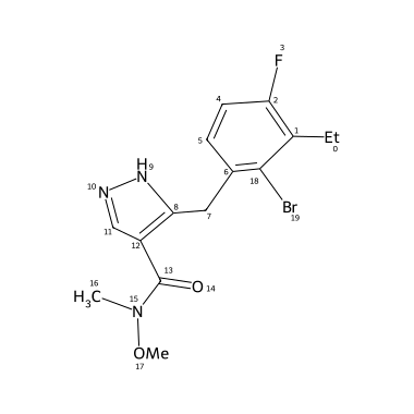 CCc1c(F)ccc(Cc2[nH]ncc2C(=O)N(C)OC)c1Br